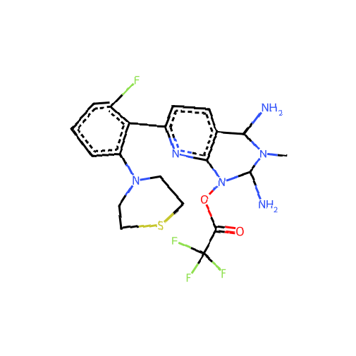 CN1C(N)c2ccc(-c3c(F)cccc3N3CCSCC3)nc2N(OC(=O)C(F)(F)F)C1N